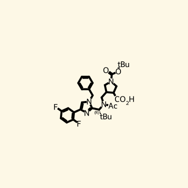 CC(=O)N(CC1CN(C(=O)OC(C)(C)C)CC1C(=O)O)[C@@H](c1nc(-c2cc(F)ccc2F)cn1Cc1ccccc1)C(C)(C)C